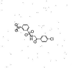 O=C(CNS(=O)(=O)c1cccc([N+](=O)[O-])c1)c1ccc(Cl)cc1